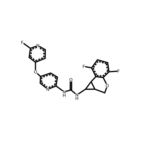 O=C(Nc1ccc(Oc2ccnc(F)c2)cn1)NC1C2COc3c(F)ccc(F)c3C21